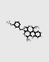 Cc1nn(Cc2cccc(OC(F)(F)F)c2)c(C)c1-c1c(C(N)=O)nc2ccccc2c1C(N)=O